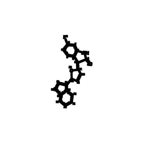 O=C1Nc2cc(F)ccc2C1=C1C=CC(c2csc3ccccc23)O1